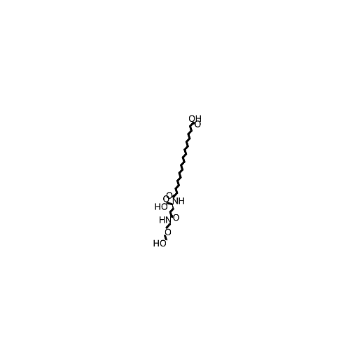 O=C(O)CCCCCCCCCCCCCCCCCCC(=O)N[C@@H](CCC(=O)NCCOCCO)C(=O)O